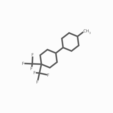 CC1CCC(C2CCC(C(F)(F)F)(C(F)(F)F)CC2)CC1